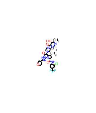 Cc1ncnc(C(=O)N2CCN(c3c4n(c5nc(C6=CCOCC6)nn5c3=O)[C@H](C(=O)Nc3ccc(C(F)(F)F)cc3Cl)C[C@@H]4C)C[C@H]2C)c1O